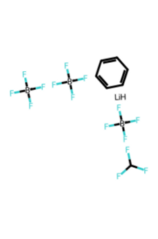 FC(F)F.F[B-](F)(F)F.F[B-](F)(F)F.F[B-](F)(F)F.[LiH].c1ccccc1